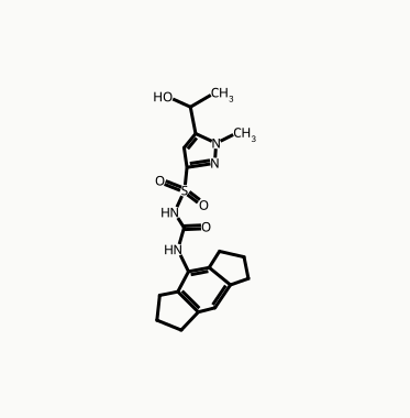 CC(O)c1cc(S(=O)(=O)NC(=O)Nc2c3c(cc4c2CCC4)CCC3)nn1C